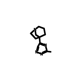 Cc1nncc(C23CCCN(CC2)C3)n1